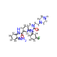 CN1CCN(CCN(Cc2ccc(C(=O)Nc3ccccc3N)cc2)C(=O)Nc2cccc(F)c2)CC1